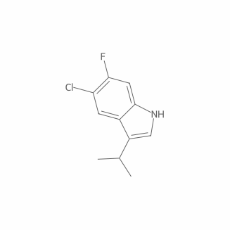 CC(C)c1c[nH]c2cc(F)c(Cl)cc12